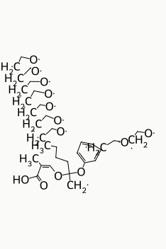 [CH2]C(CCCC)(OC=C(C)C(=O)O)Oc1ccccc1.[CH2]C[O].[CH2]C[O].[CH2]C[O].[CH2]C[O].[CH2]C[O].[CH2]C[O].[CH2]C[O].[CH2]C[O].[CH2]C[O]